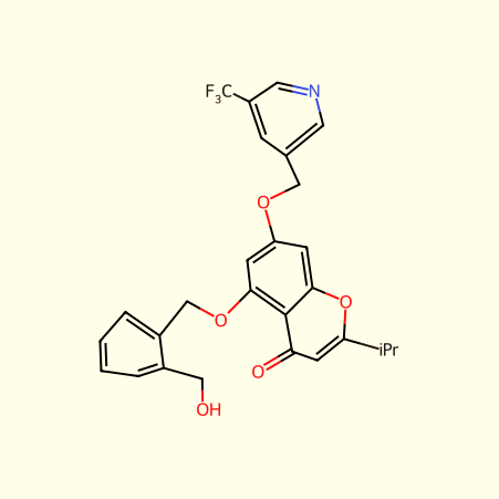 CC(C)c1cc(=O)c2c(OCc3ccccc3CO)cc(OCc3cncc(C(F)(F)F)c3)cc2o1